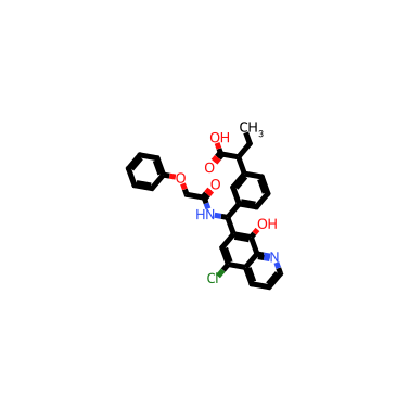 CCC(C(=O)O)c1cccc(C(NC(=O)COc2ccccc2)c2cc(Cl)c3cccnc3c2O)c1